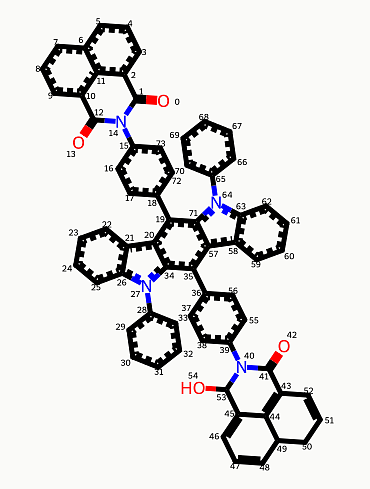 O=C1c2cccc3cccc(c23)C(=O)N1c1ccc(-c2c3c4ccccc4n(-c4ccccc4)c3c(-c3ccc(N4C(=O)C5=C6C(=CC=CC6CC=C5)C4O)cc3)c3c4ccccc4n(-c4ccccc4)c23)cc1